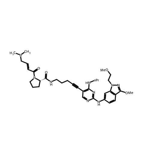 CCCNc1nc(Nc2ccc3c(OC)nn(CCOC)c3c2)ncc1C#CCCCNC(=O)[C@@H]1CCCN1C(=O)/C=C/CN(C)C